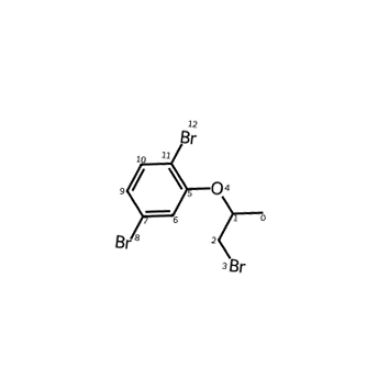 CC(CBr)Oc1cc(Br)ccc1Br